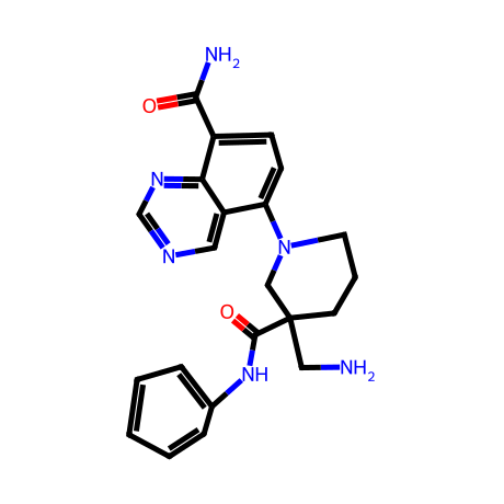 NCC1(C(=O)Nc2ccccc2)CCCN(c2ccc(C(N)=O)c3ncncc23)C1